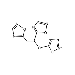 [C]1=C(OC(Cc2ncno2)c2ncno2)O[N+]=N1